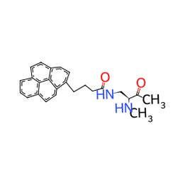 CN[C@@H](CNC(=O)CCCc1ccc2ccc3cccc4ccc1c2c34)C(C)=O